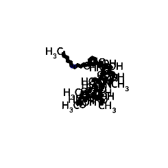 CCCCCC/C=C\CCCOc1cccc(C(=O)NC2C(OC3C(CO)OC(OC4C(CO)OC(OC5C(CO)OC(C)C(NC(C)=O)C5O)C(NC(C)=O)C4O)C(NC(C)=O)C3O)OC(CO)C(O)C2O)c1